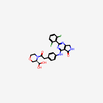 O=C1NCc2nc(-c3c(F)cccc3F)nc(Nc3ccc(CC(=O)N4CCOC[C@@H]4C(O)O)cc3)c21